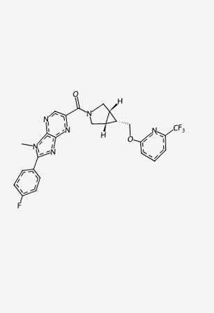 Cn1c(-c2ccc(F)cc2)nc2nc(C(=O)N3C[C@@H]4[C@H](COc5cccc(C(F)(F)F)n5)[C@@H]4C3)cnc21